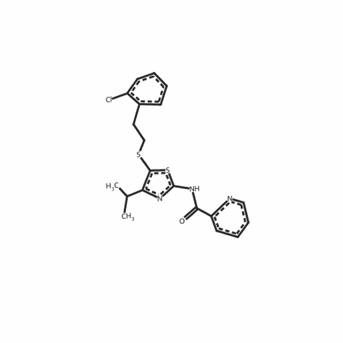 CC(C)c1nc(NC(=O)c2ccccn2)sc1SCCc1ccccc1Cl